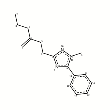 C=C(CCC)CCc1nc(-c2ccccc2)n(C)n1